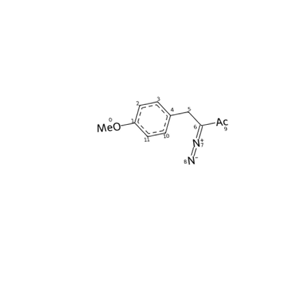 COc1ccc(CC(=[N+]=[N-])C(C)=O)cc1